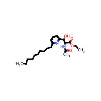 CCCCCCCCCCc1cccc(C(O)C(NC(C)=O)C(=O)OCC)n1